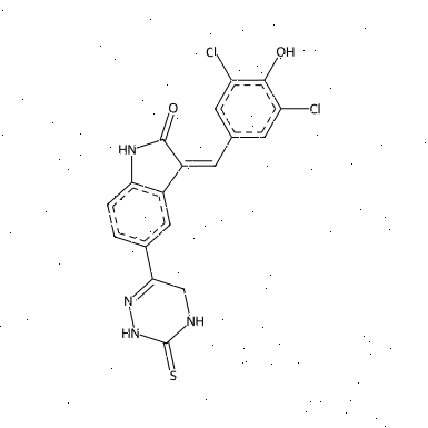 O=C1Nc2ccc(C3=NNC(=S)NC3)cc2C1=Cc1cc(Cl)c(O)c(Cl)c1